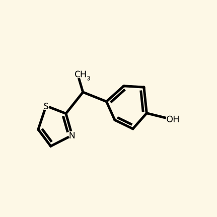 CC(c1ccc(O)cc1)c1nccs1